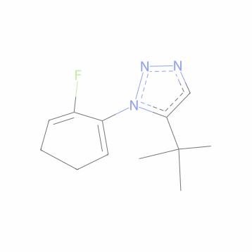 CC(C)(C)c1cnnn1C1=CCCC=C1F